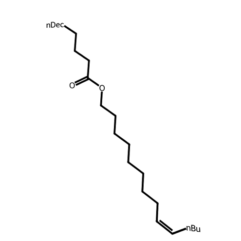 CCCC/C=C\CCCCCCCCOC(=O)CCCCCCCCCCCCC